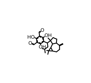 C=C1CCC2C(C3C1CCC3(C)C(CC(C)C)c1c(O)c(C=O)c(O)c(C=O)c1O)C2(C)C